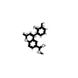 COC(=O)c1ccc2c(c1)C(c1cccc(C)c1F)=CC(C)O2